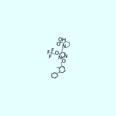 Cc1c(COc2ncc(CN3CCCCC3C(=O)O)c(OCC(F)(F)F)n2)cccc1-c1ccccc1